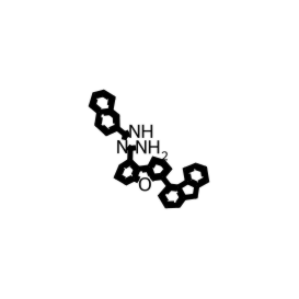 N=C(/N=C(\N)c1cccc2oc3c(-c4cccc5c4-c4ccccc4C5)cccc3c12)c1ccc2ccccc2c1